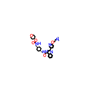 CN(C)CCOc1ccc(-c2cc(C(=O)NC[C@H]3CC[C@H](CNC(=O)OC4CCOCC4)CC3)c3ccccc3n2)cn1